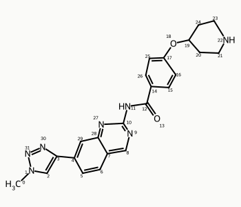 Cn1cc(-c2ccc3cnc(NC(=O)c4ccc(OC5CCNCC5)cc4)nc3c2)nn1